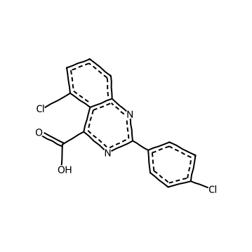 O=C(O)c1nc(-c2ccc(Cl)cc2)nc2cccc(Cl)c12